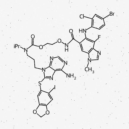 CC(C)N(CCCn1c(Sc2cc3c(cc2I)OCO3)nc2c(N)ncnc21)C(=O)OCCONC(=O)c1cc2c(ncn2C)c(F)c1Nc1ccc(Br)cc1Cl